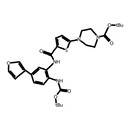 CC(C)(C)OC(=O)Nc1ccc(-c2ccoc2)cc1NC(=O)c1ccc(N2CCN(C(=O)OC(C)(C)C)CC2)s1